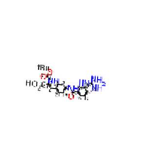 CC(C)(C)OC(=O)N[C@@H](Cc1ccc(NC(=O)c2cccc(NC(=N)N)c2)cc1)C(=O)O